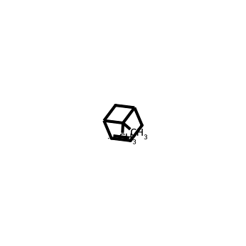 CC1(C)C2[C]=CCC1C2